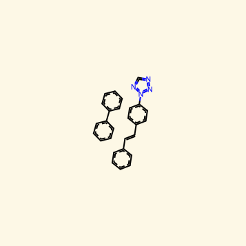 C(=Cc1ccc(-n2ncnn2)cc1)c1ccccc1.c1ccc(-c2ccccc2)cc1